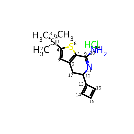 C[Si](C)(C)c1cc2c(s1)C(N)=NC(C1=CC=C1)C2.Cl